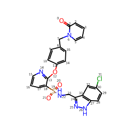 O=c1ccccn1Cc1ccc(Oc2ncccc2S(=O)(=O)NCc2n[nH]c3ccc(Cl)cc23)cc1